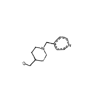 [O]CC1CCN(Cc2ccncc2)CC1